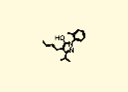 CCCCc1c(C(C)C)nn(-c2ccccc2C)c1O